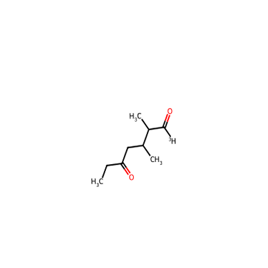 [3H]C(=O)C(C)C(C)CC(=O)CC